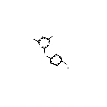 O=C(O)Nc1ccc(Sc2nc(Cl)cc(Cl)n2)cc1